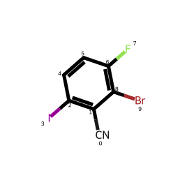 N#Cc1c(I)ccc(F)c1Br